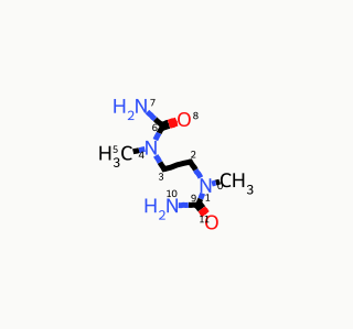 CN(CCN(C)C(N)=O)C(N)=O